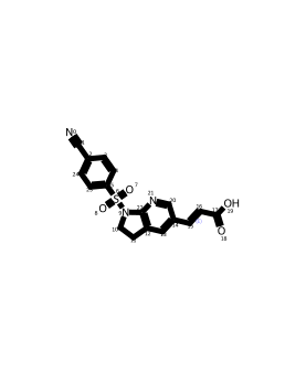 N#Cc1ccc(S(=O)(=O)N2CCc3cc(/C=C/C(=O)O)cnc32)cc1